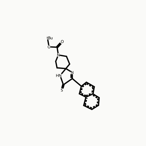 CC(C)(C)OC(=O)N1CCC2(CC1)N=C(c1ccc3ccccc3c1)C(=S)N2